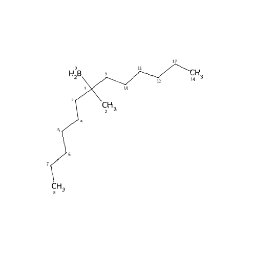 BC(C)(CCCCCC)CCCCCC